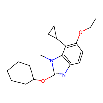 CCOc1ccc2nc(OC3CCCCC3)n(C)c2c1C1CC1